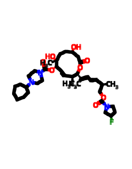 C/C(=C\C=C\[C@@H](C)COC(=O)N1CC[C@@H](F)C1)[C@H]1OC(=O)C[C@H](O)CC[C@@](C)(O)[C@@H](OC(=O)N2CCN(C3CCCCCC3)CC2)/C=C/[C@@H]1C